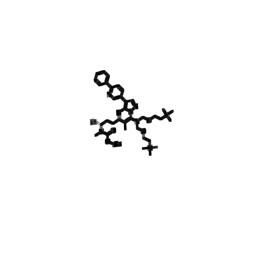 CC[C@H](CCc1nc2c(-c3ccc(-c4ccccc4)nc3)cnn2c(N(COCC[Si](C)(C)C)COCC[Si](C)(C)C)c1C)N(C)C(=O)OC(C)(C)C